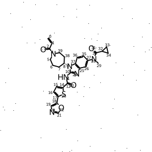 C=CC(=O)N1CCC[C@@H](n2c(NC(=O)c3ccc(-c4cnco4)s3)nc3cc(N(C)C(=O)C4CC4)ccc32)CC1